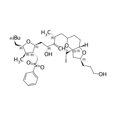 C=C([C@H](C)CC1CC[C@@H]2O[C@@H](CCCO)C[C@]2(CI)O1)[C@H](O)C[C@@H]1O[C@H](C[C@H](C)CC)[C@H](C)[C@H]1CS(=O)(=O)c1ccccc1